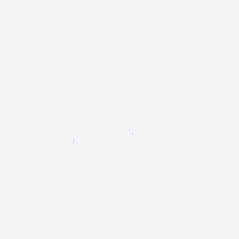 CC1(C)c2ccccc2-c2ccc(-c3ccc(N(c4cccc(-c5cccc6c5c5ccccc5n6-c5ccccc5)c4)c4cccc5c4-c4ccccc4C54c5ccccc5-c5ccccc54)cc3)cc21